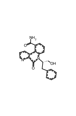 NC(=O)c1cccc2c1c1cccnc1c(=O)n2[C@H](CO)Cc1ccccc1